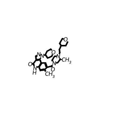 Cc1cc2[nH]c(=O)c3cnn(C4CCOCC4)c3c2cc1C(=O)N1CCN(CCC2CCOCC2)[C@@H](C)C1